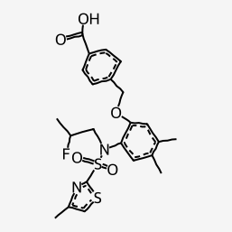 Cc1csc(S(=O)(=O)N(CC(C)F)c2cc(C)c(C)cc2OCc2ccc(C(=O)O)cc2)n1